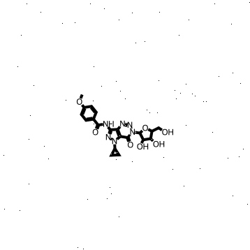 COc1ccc(C(=O)Nc2nn(C3CC3)c3c(=O)n(C4OC(CO)C(O)C4O)nnc23)cc1